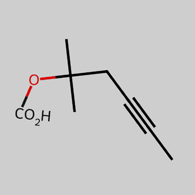 CC#CCC(C)(C)OC(=O)O